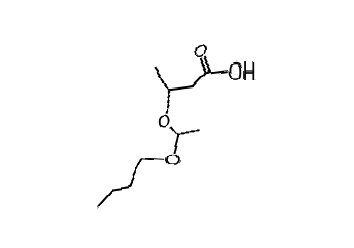 CCCCOC(C)OC(C)CC(=O)O